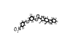 CC1=c2c(cc3c(c2C)N=c2ccccc2=3)N=C1C(=O)Oc1cccc(OCc2ccc([N+](=O)[O-])cc2)c1